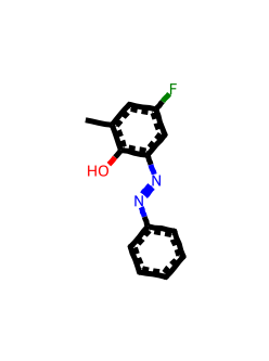 Cc1cc(F)cc(N=Nc2ccccc2)c1O